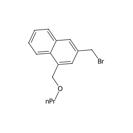 CCCOCc1cc(CBr)cc2ccccc12